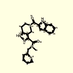 CN(Cc1ccccn1)C(=O)c1n[nH]c2c1CN(C(=O)c1cc3ccccc3[nH]1)CC2